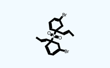 CC=CC1(S(=O)(=O)C2(C=CC)C=CC=C(Br)C2)C=CC=C(Br)C1